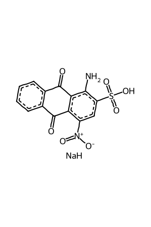 Nc1c(S(=O)(=O)O)cc([N+](=O)[O-])c2c1C(=O)c1ccccc1C2=O.[NaH]